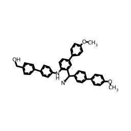 COc1ccc(-c2ccc(C(C#N)c3cc(-c4ccc(OC)cc4)ccc3Nc3ccc(-c4ccc(CO)cc4)cc3)cc2)cc1